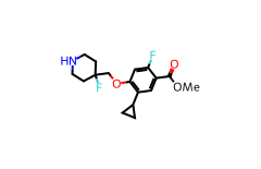 COC(=O)c1cc(C2CC2)c(OCC2(F)CCNCC2)cc1F